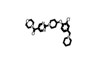 O=C(c1cnc(N2CCC(Oc3ccc(CN4CCCCC4)cc3Cl)CC2)nc1)N1CCOCC1